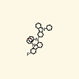 Fc1ccc2c3cccc(N(c4ccccc4)c4ccc5c(c4)c4ccccc4n5-c4ccccc4)c3n(-c3ccccc3)c2c1